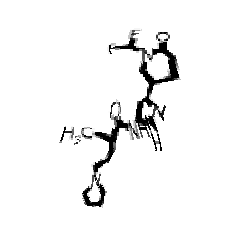 CC(CCN1CCCC1)C(=O)Nc1cc(-c2ccc(=O)n(C(F)F)c2)n[nH]1